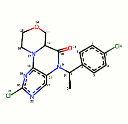 C[C@H](c1ccc(Cl)cc1)N1C(=O)C2COCCN2c2nc(Cl)ncc21